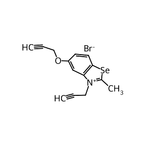 C#CCOc1ccc2[se]c(C)[n+](CC#C)c2c1.[Br-]